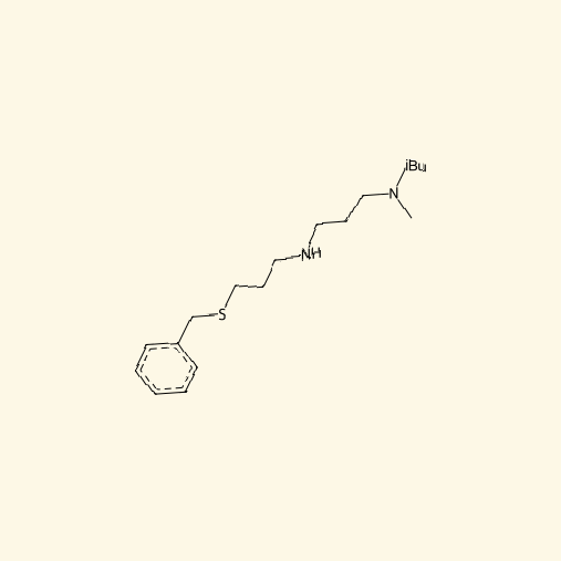 CCC(C)N(C)CCCNCCCSCc1ccccc1